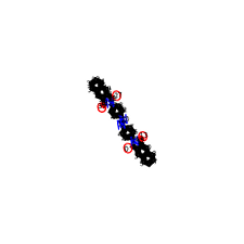 O=C1c2cc3ccccc3cc2C(=O)N1c1ccc(N=Nc2ccc(N3C(=O)c4cc5ccccc5cc4C3=O)cc2)cc1